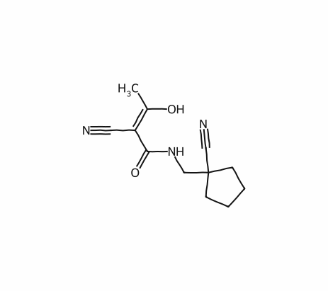 CC(O)=C(C#N)C(=O)NCC1(C#N)CCCC1